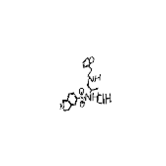 CC(CNCCc1ccco1)NS(=O)(=O)c1ccc2cnccc2c1.Cl